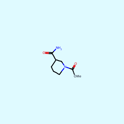 COC(=O)N1CCCC(C(N)=O)C1